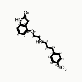 O=C1Cc2c(cccc2OCCNCCCc2ccc([N+](=O)[O-])cc2)N1